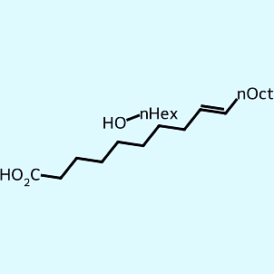 CCCCCCCCC=CCCCCCCCC(=O)O.CCCCCCO